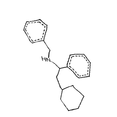 c1ccc(CNC(CC2CCCCC2)c2ccccc2)cc1